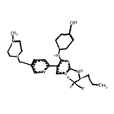 CCC[C@H](Nc1ncc(-c2ccc(CN3CCN(C)CC3)cn2)c(NC2CCC(O)CC2)n1)C(F)(F)F